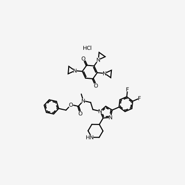 CN(CCn1cc(-c2ccc(F)c(F)c2)nc1C1CCNCC1)C(=O)OCc1ccccc1.Cl.O=C1C=C(N2CC2)C(=O)C(N2CC2)=C1N1CC1